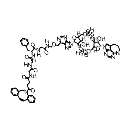 O=C(CCC(=O)N1Cc2ccccc2C#Cc2ccccc21)NCC(=O)NCC(=O)N[C@@H](Cc1ccccc1)C(=O)NCC(=O)NCOCc1ncnc2c1ncn2[C@@H]1O[C@@H]2COP(=O)(S)O[C@H]3[C@@H](O)[C@H](n4cc5c6c(ncnc64)NCCC5)O[C@@H]3COP(=O)(S)O[C@@H]1[C@@H]2O